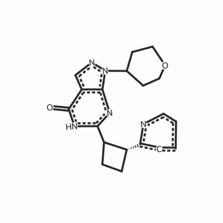 O=c1[nH]c(C2CC[C@H]2c2ccccn2)nc2c1cnn2C1CCOCC1